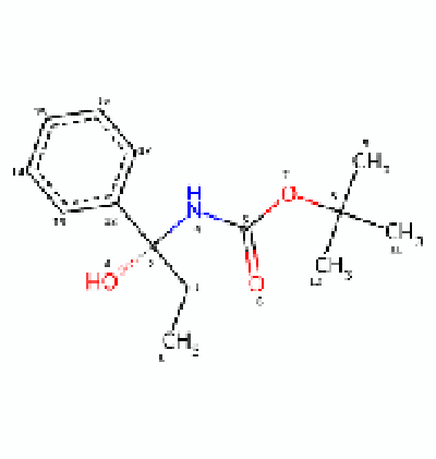 CC[C@](O)(NC(=O)OC(C)(C)C)c1ccccc1